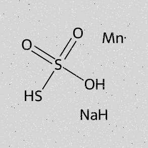 O=S(=O)(O)S.[Mn].[NaH]